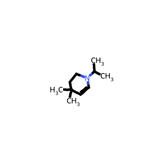 CC(C)N1C=CC(C)(C)CC1